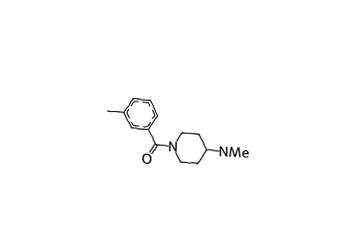 CNC1CCN(C(=O)c2cccc(C)c2)CC1